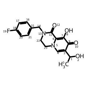 CC(O)c1cn2c(c(O)c1=O)C(=O)N(Cc1ccc(F)cc1)CC2